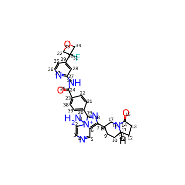 N[N+]12C=CN=CC1=C([C@@H]1CC[C@H]3CCC(=O)N3C1)N=C2c1ccc(C(=O)Nc2cc(C3(F)COC3)ccn2)cc1